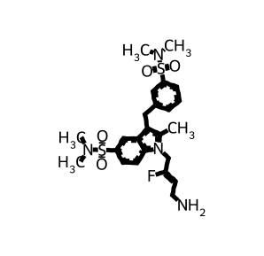 Cc1c(Cc2cccc(S(=O)(=O)N(C)C)c2)c2cc(S(=O)(=O)N(C)C)ccc2n1C/C(F)=C/CN